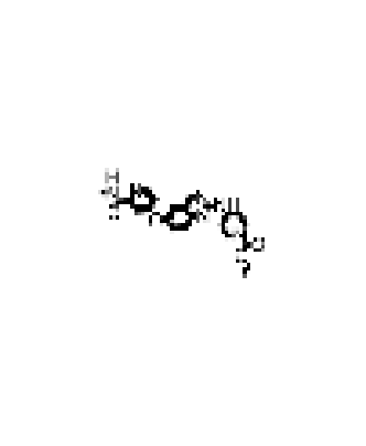 CCOC(=O)N1CCC(Nc2ncc3cc(Oc4ccnc(C(=O)NC)c4)ccc3n2)CC1